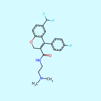 CN(C)CCNC(=O)C1=C(c2ccc(F)cc2)c2cc(C(F)F)ccc2OC1